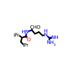 CC(C)CC(C(=O)NC(C=O)CCCNC(=N)N)C(C)C